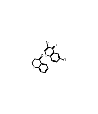 O=C1CCOc2ccccc21.O=c1c(Br)coc2ccc(Cl)cc12